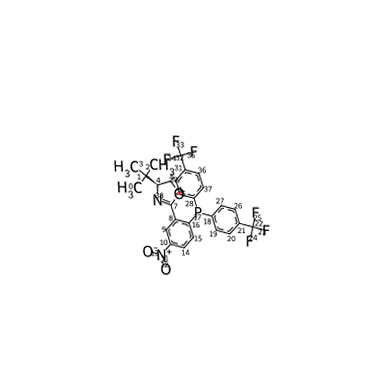 CC(C)(C)[C@H]1COC(c2cc([N+](=O)[O-])ccc2P(c2ccc(C(F)(F)F)cc2)c2ccc(C(F)(F)F)cc2)=N1